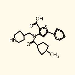 CC1CCC(C(=O)N(CC2CCNCC2)c2cc(-c3ccccc3)sc2C(=O)O)CC1